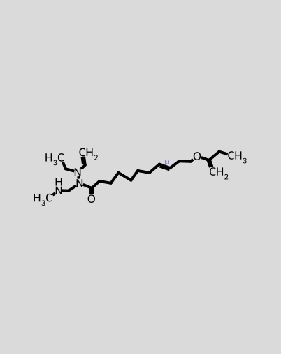 C=CN(CC)N(CNC)C(=O)CCCCCC/C=C/CCOC(=C)CC